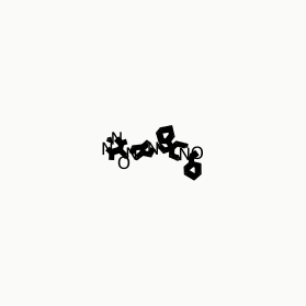 Cc1ncnc(C)c1C(=O)N1CC2=CN(CCC3(c4ccccc4)CCN(C(=O)c4ccccc4)CC3)CC2C1